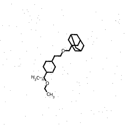 CCO[C@H](C)C1CCC(CCOCC23CC4CC(CC(C4)C2)C3)CC1